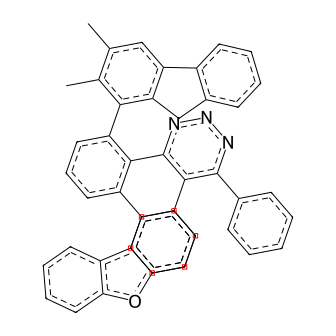 Cc1cc2c(c(-c3cccc(-c4cccc5oc6ccccc6c45)c3-c3nnnc(-c4ccccc4)c3-c3ccccc3)c1C)Cc1ccccc1-2